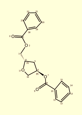 O=C(OC[C@@H]1C[C@@H](OC(=O)c2ccccc2)CO1)c1ccccc1